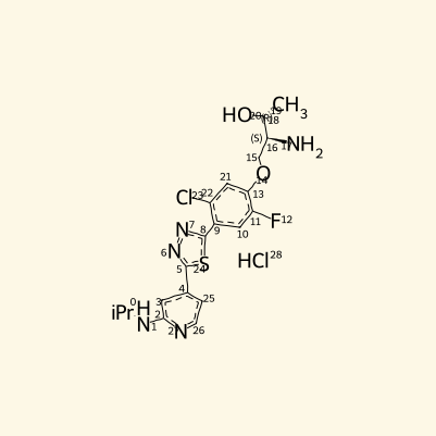 CC(C)Nc1cc(-c2nnc(-c3cc(F)c(OC[C@H](N)[C@@H](C)O)cc3Cl)s2)ccn1.Cl